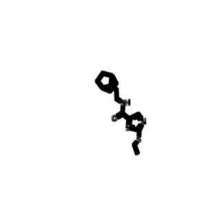 CCSc1ncc(C(=O)NCCC2C3CCC2CC3)s1